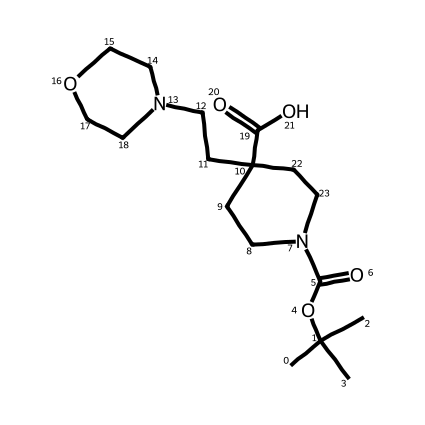 CC(C)(C)OC(=O)N1CCC(CCN2CCOCC2)(C(=O)O)CC1